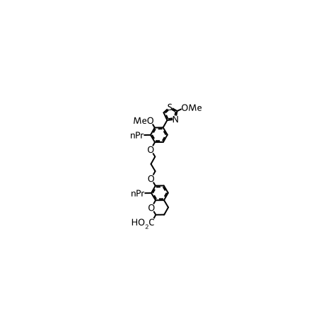 CCCc1c(OCCCOc2ccc(-c3csc(OC)n3)c(OC)c2CCC)ccc2c1OC(C(=O)O)CC2